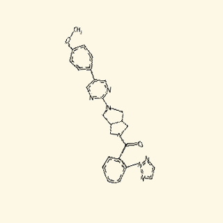 COc1ccc(-c2cnc(N3CC4CN(C(=O)c5ccccc5-n5nccn5)CC4C3)nc2)cc1